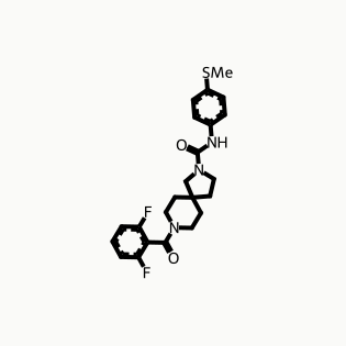 CSc1ccc(NC(=O)N2CCC3(CCN(C(=O)c4c(F)cccc4F)CC3)C2)cc1